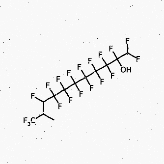 CC(C(F)C(F)(F)C(F)(F)C(F)(F)C(F)(F)C(F)(F)C(F)(F)C(O)(F)[C](F)F)C(F)(F)F